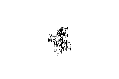 COC1C(N2C3=C(NC2OC)C(N)NCN3)O[C@@H]2CO[PH](O)(O)O[C@@H]12